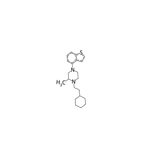 CC1CN(c2cccc3sccc23)CCN1CCC1CCCCC1